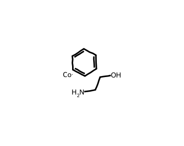 NCCO.[Co].c1ccccc1